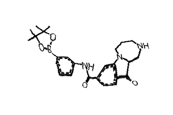 CC1(C)OB(c2cccc(NC(=O)c3ccc4c(c3)N3CCCNCC3C4=O)c2)OC1(C)C